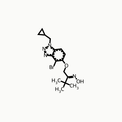 CC(C)(C)C(COc1ccc2c(nnn2CC2CC2)c1Br)=NO